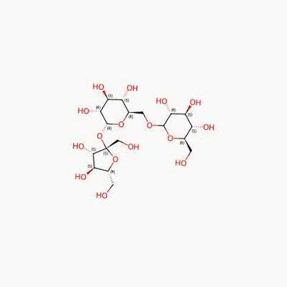 OC[C@H]1O[C@@](CO)(O[C@H]2O[C@H](COC3O[C@H](CO)[C@@H](O)[C@H](O)[C@H]3O)[C@@H](O)[C@H](O)[C@H]2O)[C@@H](O)[C@@H]1O